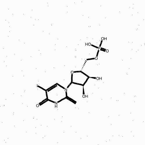 C=C1NC(=O)C(I)=CN1C1O[C@H](COP(=O)(O)O)[C@@H](O)[C@H]1O